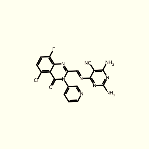 N#Cc1c(N)nc(N)nc1/N=C/c1nc2c(F)ccc(Cl)c2c(=O)n1-c1cccnc1